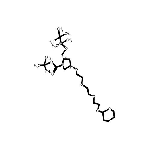 CC(C)(C)OC(=O)N1C[C@H](OCCOCCOCCOC2CCCCO2)C[C@H]1CO[Si](C)(C)C(C)(C)C